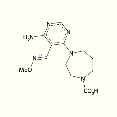 CO/N=C/c1c(N)ncnc1N1CCCN(C(=O)O)CC1